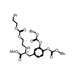 CCC(C)OC(=O)Oc1ccc(C[C@H](NCCOC(=O)OCCC(C)C)C(=O)OC)cc1OC(=O)OC(C)CC